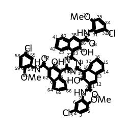 COc1ccc(Cl)cc1NC(=O)c1cc2ccccc2c(-c2nc(-c3c(O)c(C(=O)Nc4cc(Cl)ccc4OC)cc4ccccc34)nc(-c3c(O)c(C(=O)Nc4cc(Cl)ccc4OC)cc4ccccc34)n2)c1O